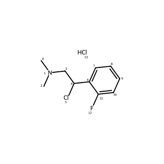 CN(C)CC(Cl)c1ccccc1F.Cl